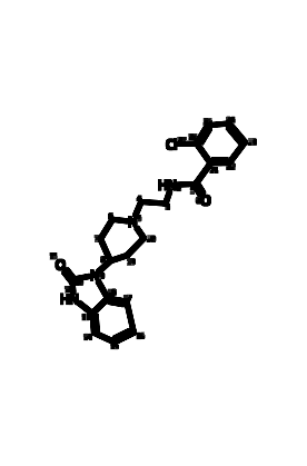 O=C(NCCN1CCC(n2c(=O)[nH]c3ccccc32)CC1)c1ccccc1Cl